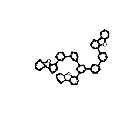 C1=CC2Sc3c(-c4cc(-c5cccc(-c6cccc(-c7cccc8c7oc7ccccc78)c6)c5)cc(-c5cccc(-c6cccc(-c7cccc8c7oc7ccccc78)c6)c5)c4)cccc3C2C=C1